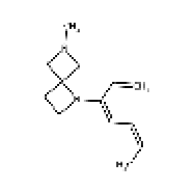 C=C/C(=C\C=C/C)N1CCC12CN(C)C2